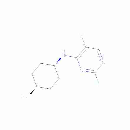 C[C@H]1CC[C@@H](Nc2nc(Cl)ncc2Br)CC1